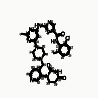 Cc1nc(Nc2ncc(C(=O)Nc3c(C)cccc3Cl)s2)cc(N2CCN(Cc3ccncc3N3CCC(=O)NC3=O)CC2)n1